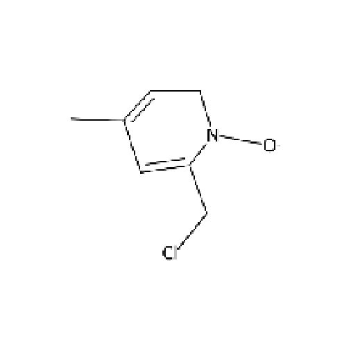 CC1=CCN([O])C(CCl)=C1